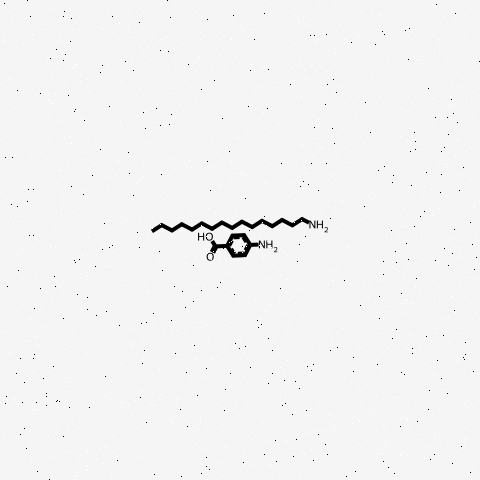 CCCCCCCCCCCCCCCCN.Nc1ccc(C(=O)O)cc1